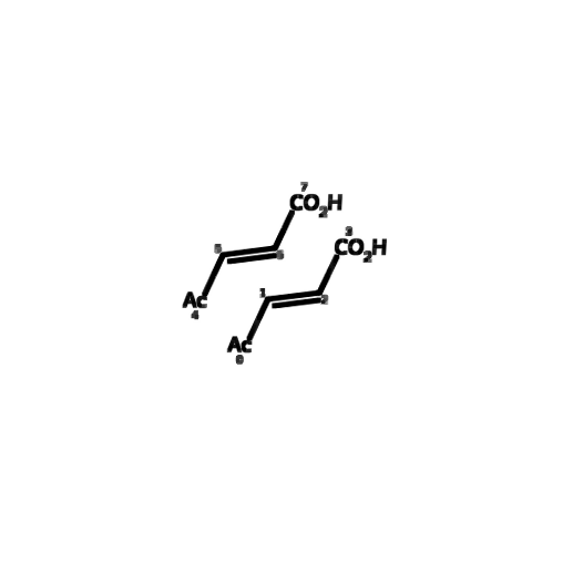 CC(=O)/C=C/C(=O)O.CC(=O)/C=C/C(=O)O